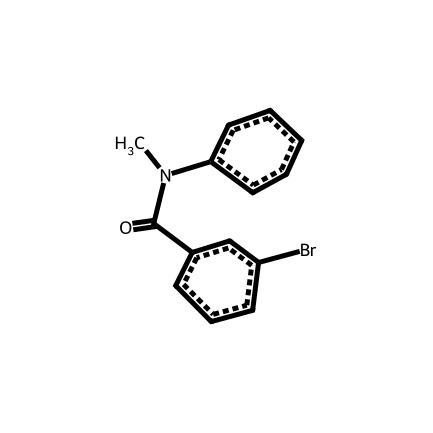 CN(C(=O)c1cccc(Br)c1)c1ccccc1